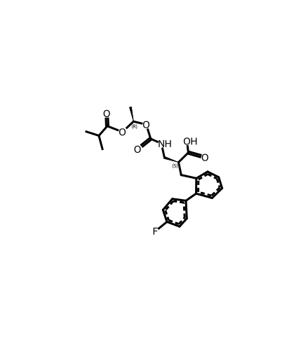 CC(C)C(=O)O[C@@H](C)OC(=O)NC[C@H](Cc1ccccc1-c1ccc(F)cc1)C(=O)O